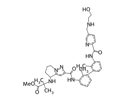 COC(=O)C(C)(C)NC1CCCn2nc(C(=O)Nc3cccc(-c4cccc(NC(=O)c5ccc(CNCCO)cn5)c4C)c3C)cc21